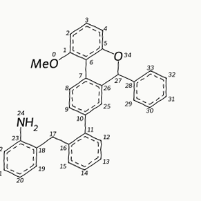 COc1cccc2c1-c1ccc(-c3ccccc3Cc3ccccc3N)cc1C(c1ccccc1)O2